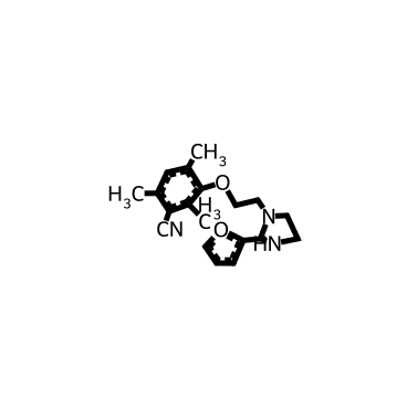 Cc1cc(C)c(OCCN2CCNC2c2ccco2)c(C)c1C#N